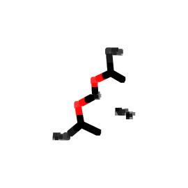 COC(C)[O][Al][O]C(C)OC.[H-].[Na+]